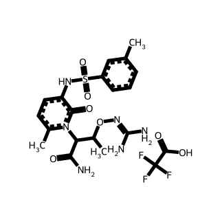 Cc1cccc(S(=O)(=O)Nc2ccc(C)n(C(C(N)=O)C(C)ON=C(N)N)c2=O)c1.O=C(O)C(F)(F)F